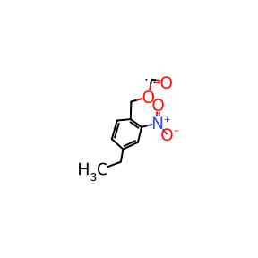 CCc1ccc(CO[C]=O)c([N+](=O)[O-])c1